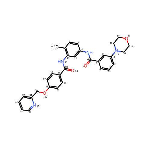 Cc1ccc(NC(=O)c2cccc(N3CCOCC3)c2)cc1NC(=O)c1ccc(OCc2ccccn2)cc1